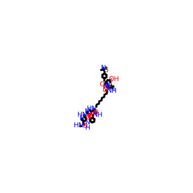 CNC(=O)c1cnc(Nc2ccc(C(=O)NCCCCCCCCCC(=O)N[C@H](C(=O)N3C[C@H](O)C[C@@]3(Cc3ccc(-c4scnc4C)cc3)C(N)=O)C(C)(C)C)cn2)cc1Nc1cccc(C(=O)NC)c1OC